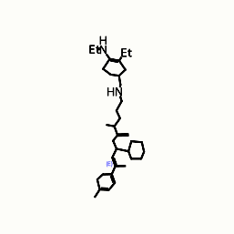 C=C(CC(/C=C(\C)C1=CC=C(C)CC1)C1CCCCC1)C(C)CCCNCC1CCC(NCC)=C(CC)C1